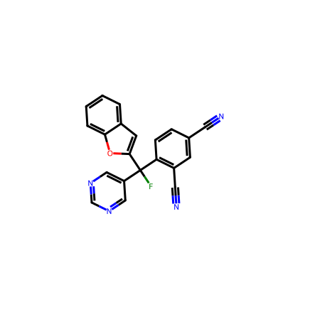 N#Cc1ccc(C(F)(c2cncnc2)c2cc3ccccc3o2)c(C#N)c1